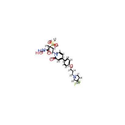 CC(CCn1ccc(-c2ccc(OCCCN3CCC(F)(F)C3)cc2)cc1=O)(C(=O)NO)S(C)(=O)=O